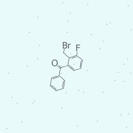 O=C(c1ccccc1)c1cccc(F)c1CBr